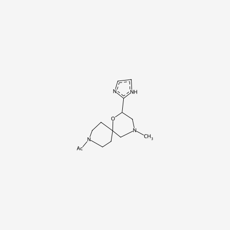 CC(=O)N1CCC2(CC1)CN(C)CC(c1ncc[nH]1)O2